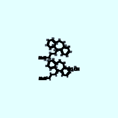 CNCCCN1c2ccccc2CCc2ccccc21.CNCCCN1c2ccccc2CCc2ccccc21.Cl.Cl